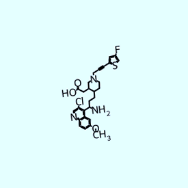 COc1ccc2ncc(Cl)c(C(N)CCC3CCN(CC#Cc4cc(F)cs4)CC3CC(=O)O)c2c1